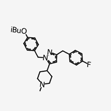 CC(C)COc1ccc(Cn2nc(Cc3ccc(F)cc3)cc2C2CCN(C)CC2)cc1